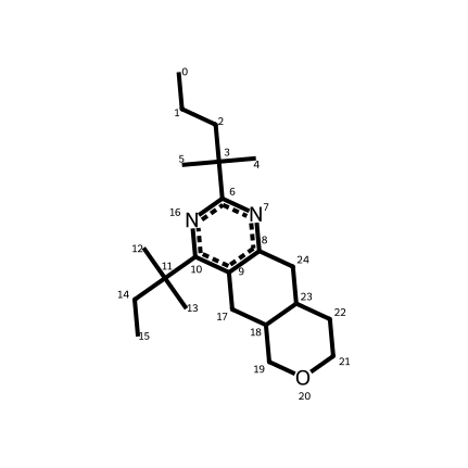 CCCC(C)(C)c1nc2c(c(C(C)(C)CC)n1)CC1COCCC1C2